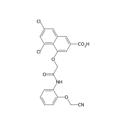 N#CCOc1ccccc1NC(=O)COc1cc(C(=O)O)cc2cc(Cl)cc(Cl)c12